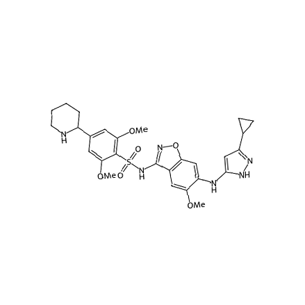 COc1cc2c(NS(=O)(=O)c3c(OC)cc(C4CCCCN4)cc3OC)noc2cc1Nc1cc(C2CC2)n[nH]1